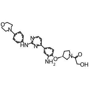 Nc1cc(-c2ccnc(Nc3ccc(N4CCOCC4)cc3)n2)ccc1O[C@H]1CCN(C(=O)CO)C1